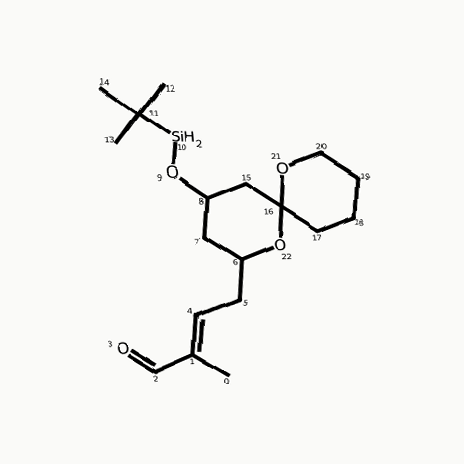 C/C(C=O)=C\CC1CC(O[SiH2]C(C)(C)C)CC2(CCCCO2)O1